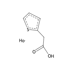 O=C(O)Cc1cccs1.[Ho]